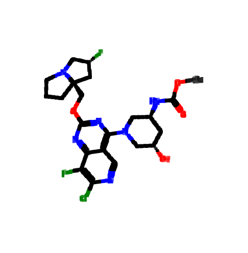 CC(C)(C)OC(=O)N[C@H]1C[C@H](O)CN(c2nc(OC[C@@]34CCCN3C[C@H](F)C4)nc3c(F)c(Cl)ncc23)C1